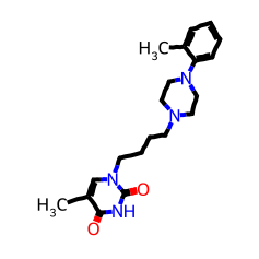 Cc1ccccc1N1CCN(CCCCn2cc(C)c(=O)[nH]c2=O)CC1